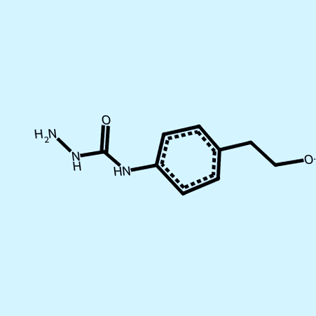 NNC(=O)Nc1ccc(CC[O])cc1